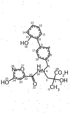 CC(O)(CN(Cc1ccc(-c2ccccc2O)cc1)NC(=O)c1cc(O)no1)C(=O)O